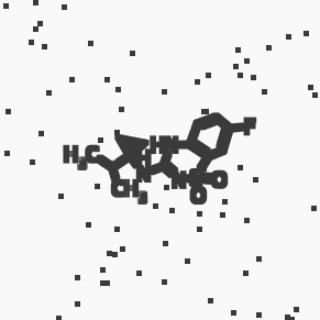 CC(C)C1(NC2=NS(=O)(=O)c3cc(F)ccc3N2)CC1